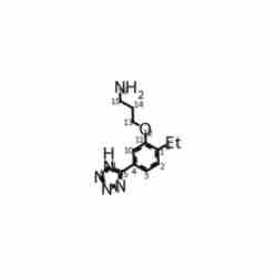 CCc1ccc(-c2nnn[nH]2)cc1OCCCN